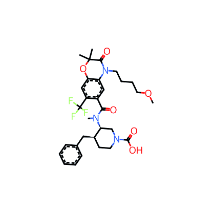 COCCCCN1C(=O)C(C)(C)Oc2cc(C(F)(F)F)c(C(=O)N(C)[C@H]3CN(C(=O)O)CC[C@H]3Cc3ccccc3)cc21